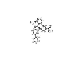 Nc1ncccc1-c1nc2ccc(-c3ccccc3)nc2n1-c1ccc(C(=O)O)cn1